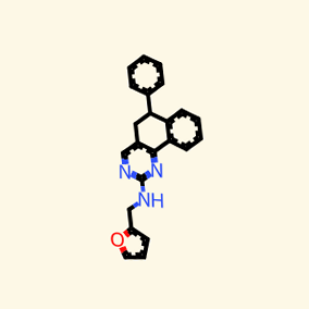 c1ccc(C2Cc3cnc(NCc4ccco4)nc3-c3ccccc32)cc1